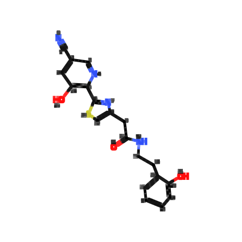 N#Cc1cnc(-c2nc(CC(=O)NCCc3ccccc3O)cs2)c(O)c1